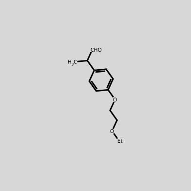 CCOCCOc1ccc(C(C)C=O)cc1